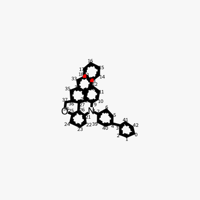 c1ccc(-c2ccc(N(c3ccc(-c4ccccc4)cc3)c3cccc4c3-c3cc5ccccc5cc3CO4)cc2)cc1